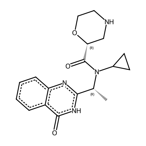 C[C@H](c1nc2ccccc2c(=O)[nH]1)N(C(=O)[C@H]1CNCCO1)C1CC1